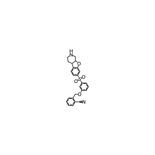 N#Cc1ccccc1COc1cccc(S(=O)(=O)c2ccc3c(c2)OC2CNCCC32)c1